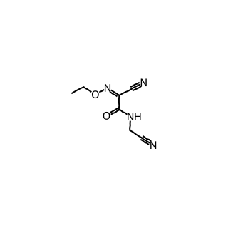 CCON=C(C#N)C(=O)NCC#N